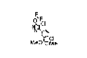 COC(OC)c1cc(-c2nn(C)c(OC(F)F)c2Cl)ccc1Cl